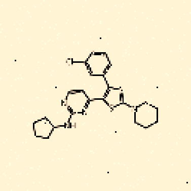 Clc1cccc(-c2nc(N3CCCCC3)sc2-c2ccnc(NC3CCCC3)n2)c1